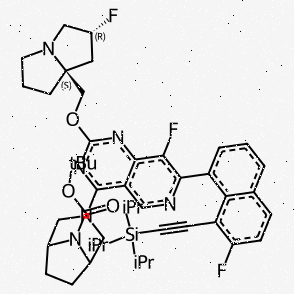 CC(C)[Si](C#Cc1c(F)ccc2cccc(-c3ncc4c(N5CC6CCC(C5)N6C(=O)OC(C)(C)C)nc(OC[C@@]56CCCN5C[C@H](F)C6)nc4c3F)c12)(C(C)C)C(C)C